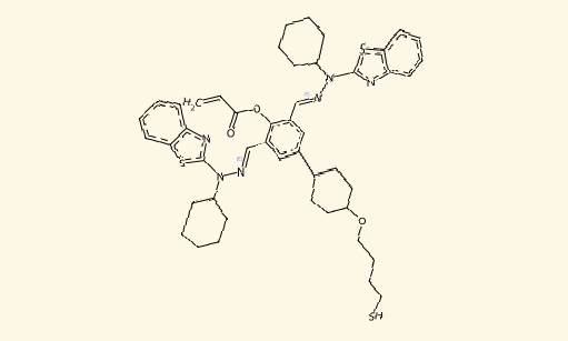 C=CC(=O)Oc1c(/C=N/N(c2nc3ccccc3s2)C2CCCCC2)cc(C2CCC(OCCCCS)CC2)cc1/C=N/N(c1nc2ccccc2s1)C1CCCCC1